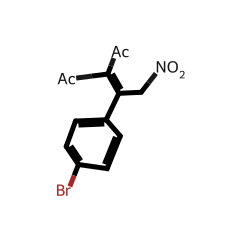 CC(=O)C(C(C)=O)=C(C[N+](=O)[O-])c1ccc(Br)cc1